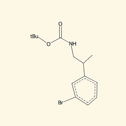 CC(CNC(=O)OC(C)(C)C)c1cccc(Br)c1